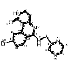 O=c1[nH]ccc2nc(NCc3cnccn3)c3ccc(Br)cc3c12